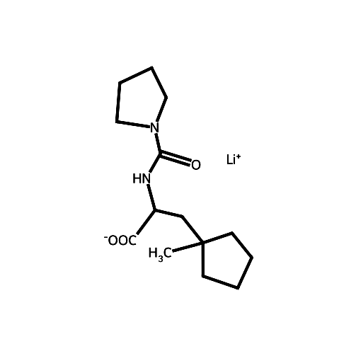 CC1(CC(NC(=O)N2CCCC2)C(=O)[O-])CCCC1.[Li+]